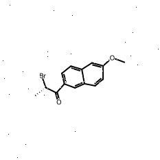 COc1ccc2cc(C(=O)[C@H](C)Br)ccc2c1